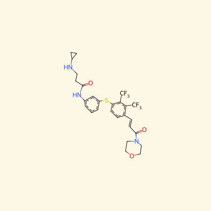 O=C(CCNC1CC1)Nc1cccc(Sc2ccc(C=CC(=O)N3CCOCC3)c(C(F)(F)F)c2C(F)(F)F)c1